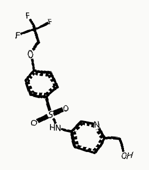 O=S(=O)(Nc1ccc(CO)nc1)c1ccc(OCC(F)(F)F)cc1